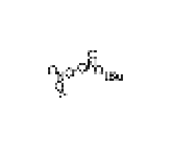 CC(C)(C)c1ccc(N(c2ccccc2)c2ccc(-c3ccc(N(c4ccccc4)c4ccc5c(c4)C5(C)C)cc3)cc2)cc1